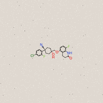 N#C[C@]1(c2ccc(Cl)cc2F)CC[C@@](O)(COc2ccc(F)c3c2CCC(=O)N3)CC1